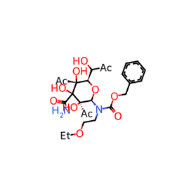 CCOCCN(C(=O)OCc1ccccc1)[C@@H]1O[C@H](C(O)C(C)=O)[C@](O)(C(C)=O)[C@@](O)(C(N)=O)[C@@]1(O)C(C)=O